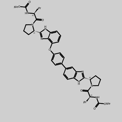 COC(=O)N[C@H](C(=O)N1CCC[C@H]1c1nc2cc(-c3ccc(Oc4cccc5[nH]c([C@@H]6CCCN6C(=O)[C@@H](NC(=O)OC)C(C)C)nc45)cc3)ccc2[nH]1)C(C)C